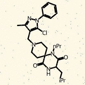 CCCN1C(=O)C(CC(C)C)NC(=O)C12CCN(Cc1c(C)nn(-c3ccccc3)c1Cl)CC2